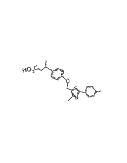 Cc1ccc(-c2nc(C)c(COc3ccc(C(C)CC(=O)O)cc3)s2)cc1